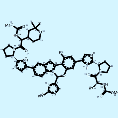 CCCc1ncc(C2Oc3cc(-c4cnc([C@@H]5CCCN5C(=O)[C@@H](NC(=O)OC)C(C)C)[nH]4)cc(F)c3-c3cc4cc(-c5cnc([C@@H]6CCCN6C(=O)C(NC(=O)OC)C6CCOC(C)(C)C6)[nH]5)ccc4n32)s1